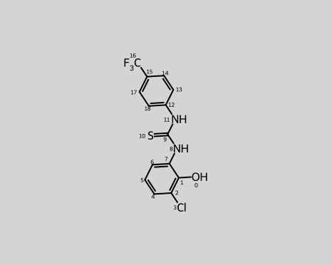 Oc1c(Cl)cccc1NC(=S)Nc1ccc(C(F)(F)F)cc1